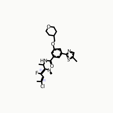 C=N/C(=C(F)\C=C(/C)Cl)C(C)NC(=O)c1cc(OCC2CCOCC2)cc(-c2ncc(C)s2)c1